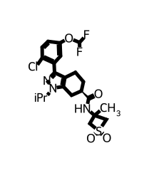 CC(C)n1nc(-c2cc(OC(F)F)ccc2Cl)c2c1C[C@H](C(=O)NC1(C)CS(=O)(=O)C1)CC2